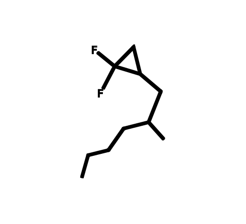 CCCCC(C)CC1CC1(F)F